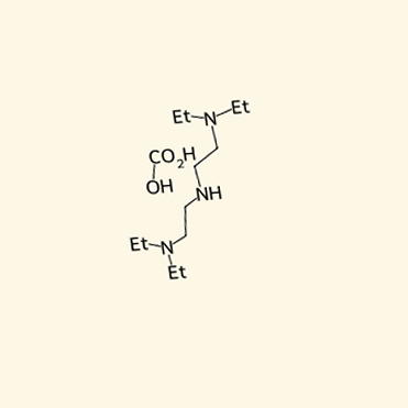 CCN(CC)CCNCCN(CC)CC.O=C(O)O